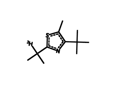 [2H]C(C)(C)c1nc(C(C)(C)C)c(C)s1